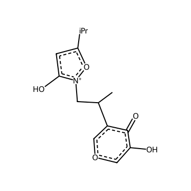 CC(C)c1cc(O)[n+](CC(C)c2cocc(O)c2=O)o1